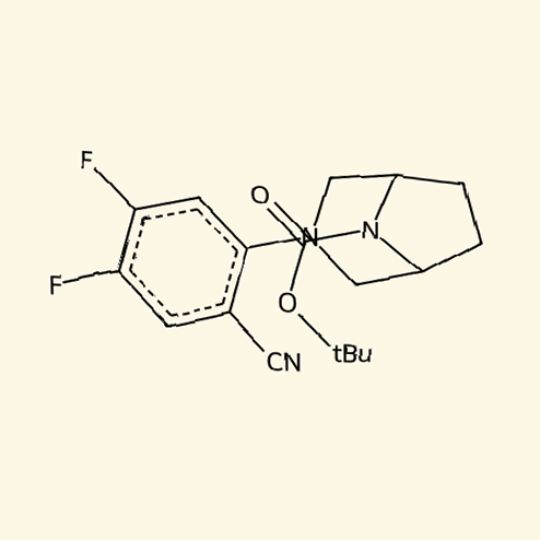 CC(C)(C)OC(=O)N1C2CCC1CN(c1cc(F)c(F)cc1C#N)C2